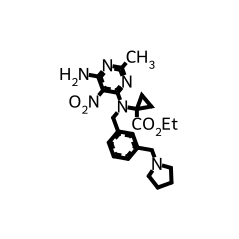 CCOC(=O)C1(N(Cc2cccc(CN3CCCC3)c2)c2nc(C)nc(N)c2[N+](=O)[O-])CC1